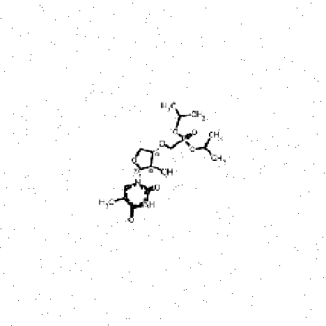 Cc1cn([C@@H]2OC[C@H](OCP(=O)(OC(C)C)OC(C)C)[C@H]2O)c(=O)[nH]c1=O